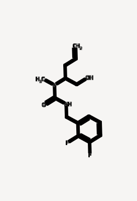 C=CCC(CO)N(C)C(=O)NCc1cccc(F)c1F